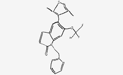 Cc1noc(C)c1-c1cc2ccc(=O)n(Cc3ccccn3)c2cc1OC(F)(F)Br